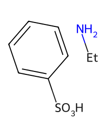 CCN.O=S(=O)(O)c1ccccc1